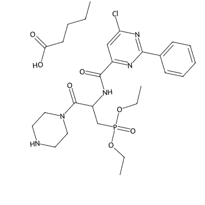 CCCCC(=O)O.CCOP(=O)(CC(NC(=O)c1cc(Cl)nc(-c2ccccc2)n1)C(=O)N1CCNCC1)OCC